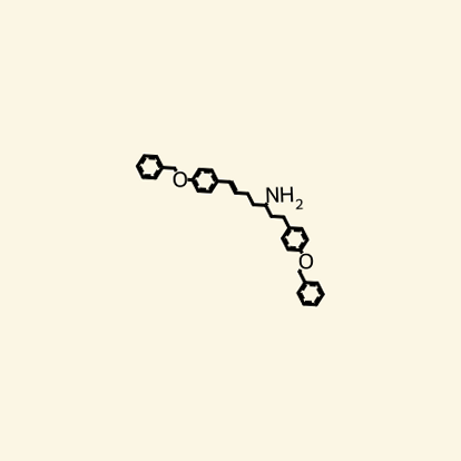 NC(CC/C=C/c1ccc(OCc2ccccc2)cc1)CCc1ccc(OCc2ccccc2)cc1